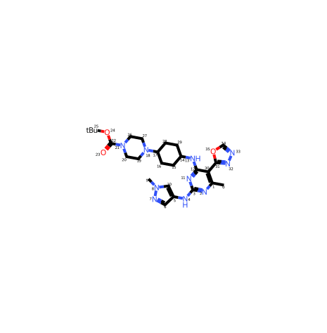 Cc1nc(Nc2cnn(C)c2)nc(NC2CCC(N3CCN(C(=O)OC(C)(C)C)CC3)CC2)c1-c1nnco1